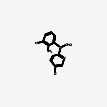 Nc1c(Cl)cccc1N(C=O)c1ccc(Cl)cn1